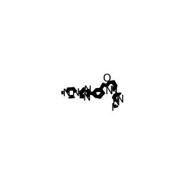 CN1CCN(c2cnc(-c3cccc(Cc4nn(-c5cnn(CI)c5)ccc4=O)c3)nc2)CC1